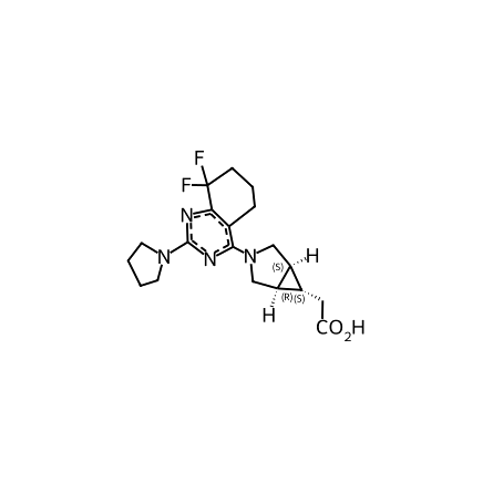 O=C(O)C[C@@H]1[C@H]2CN(c3nc(N4CCCC4)nc4c3CCCC4(F)F)C[C@@H]12